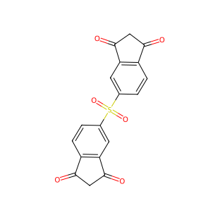 O=C1CC(=O)c2cc(S(=O)(=O)c3ccc4c(c3)C(=O)CC4=O)ccc21